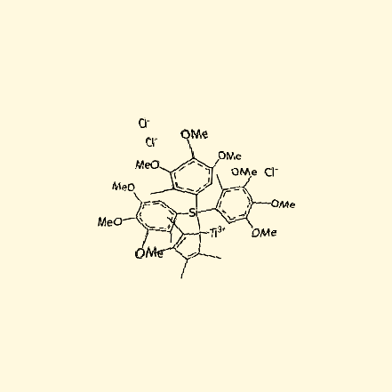 COc1cc([Si](c2cc(OC)c(OC)c(OC)c2C)(c2cc(OC)c(OC)c(OC)c2C)[C]2([Ti+3])C(C)=C(C)C(C)=C2C)c(C)c(OC)c1OC.[Cl-].[Cl-].[Cl-]